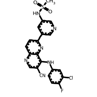 CS(=O)(=O)Nc1cncc(-c2ccc3ncc(C#N)c(Nc4ccc(F)c(Cl)c4)c3n2)c1